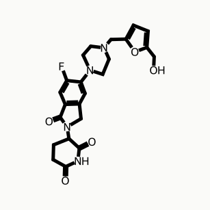 O=C1CCC(N2Cc3cc(N4CCN(Cc5ccc(CO)o5)CC4)c(F)cc3C2=O)C(=O)N1